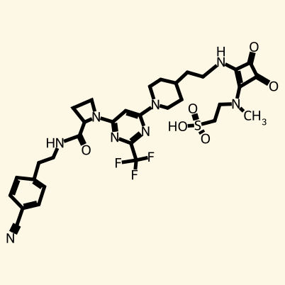 CN(CCS(=O)(=O)O)c1c(NCCC2CCN(c3cc(N4CCC4C(=O)NCCc4ccc(C#N)cc4)nc(C(F)(F)F)n3)CC2)c(=O)c1=O